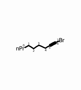 CCCCCCCC#CBr